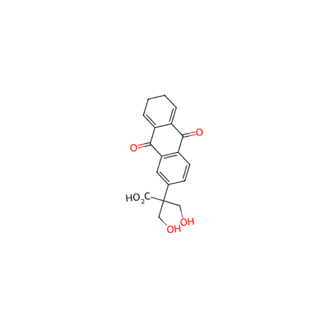 O=C1C2=CCCC=C2C(=O)c2cc(C(CO)(CO)C(=O)O)ccc21